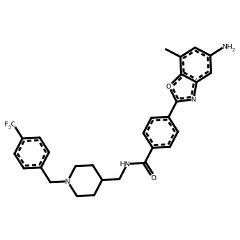 Cc1cc(N)cc2nc(-c3ccc(C(=O)NCC4CCN(Cc5ccc(C(F)(F)F)cc5)CC4)cc3)oc12